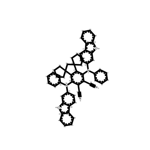 N#Cc1c(C#N)c(N(c2ccccc2)c2ccc3c(c2)oc2ccccc23)c2c(c1N(c1ccccc1)c1ccc3c(c1)oc1ccccc13)C1(CCCC1)CC21CCCC1